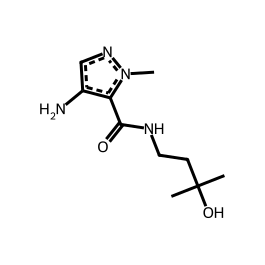 Cn1ncc(N)c1C(=O)NCCC(C)(C)O